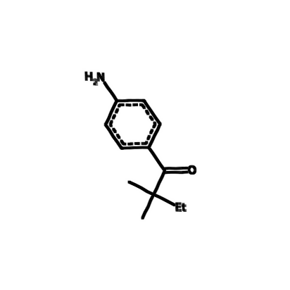 CCC(C)(C)C(=O)c1ccc(N)cc1